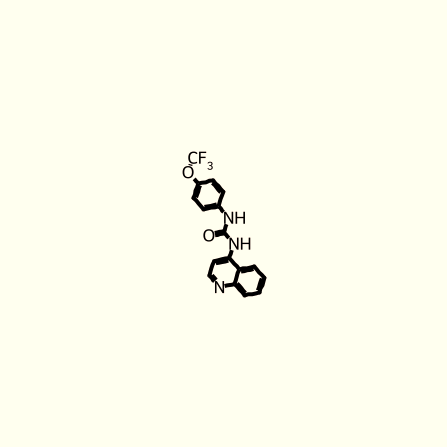 O=C(Nc1ccc(OC(F)(F)F)cc1)Nc1ccnc2ccccc12